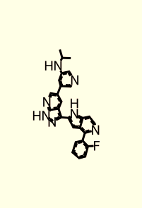 CC(C)Nc1cncc(-c2cnc3[nH]nc(-c4cc5c(-c6ccccc6F)nccc5[nH]4)c3c2)c1